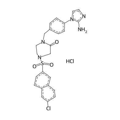 Cl.Nc1nccn1-c1ccc(CN2CCN(S(=O)(=O)c3ccc4cc(Cl)ccc4c3)CC2=O)cc1